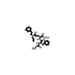 C=CCN(CCc1ccccc1)C(=O)CC[C@H](NC(=O)[C@@H](Cc1ccccc1)NC(=O)OC(C)(C)C)C(=O)OC